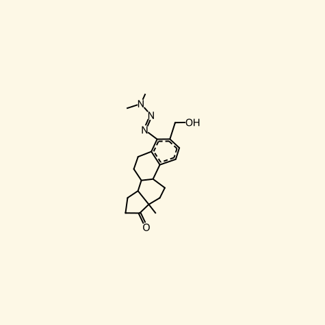 CN(C)/N=N/c1c(CO)ccc2c1CCC1C2CCC2(C)C(=O)CCC12